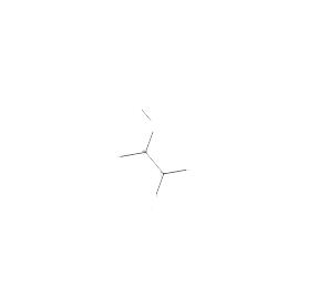 CSC(Cl)C(C)C